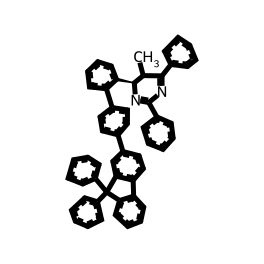 CC1C(c2ccccc2)=NC(c2ccccc2)=N[C@H]1c1ccccc1-c1ccc(-c2ccc3c(c2)C(c2ccccc2)(c2ccccc2)c2ccccc2-3)cc1